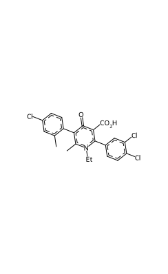 CCn1c(C)c(-c2ccc(Cl)cc2C)c(=O)c(C(=O)O)c1-c1ccc(Cl)c(Cl)c1